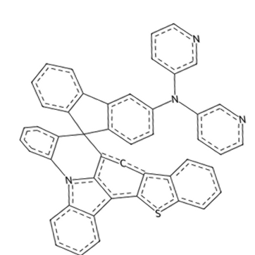 c1cncc(N(c2cccnc2)c2ccc3c(c2)-c2ccccc2C32c3ccccc3-n3c4ccccc4c4c5sc6ccccc6c5cc2c43)c1